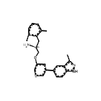 Cc1cccc(C)c1C[C@H](N)COc1cncc(-c2ccc3[nH]nc(C)c3c2)c1